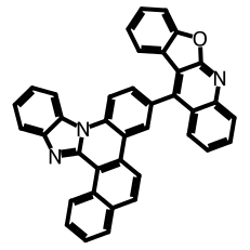 c1ccc2c(c1)ccc1c3cc(-c4c5ccccc5nc5oc6ccccc6c45)ccc3n3c4ccccc4nc3c21